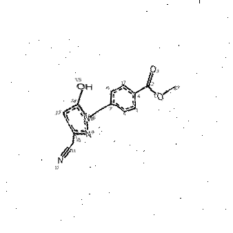 COC(=O)c1ccc(-n2nc(C#N)cc2O)cc1